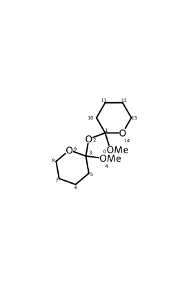 COC1(OC2(OC)CCCCO2)CCCCO1